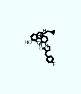 O=C1C(Cc2ccc(F)cc2)CCN1[C@H]1CC[C@@]2(O)[C@H]3Cc4ccc(O)c5c4[C@@]2(CCN3CC2CC2)[C@H]1O5